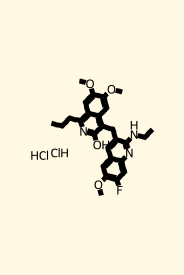 CCCc1nc(O)c(Cc2cc3cc(OC)c(F)cc3nc2NCC)c2cc(OC)c(OC)cc12.Cl.Cl